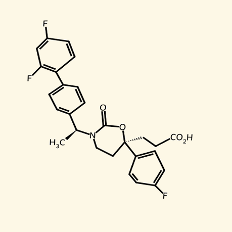 C[C@@H](c1ccc(-c2ccc(F)cc2F)cc1)N1CC[C@](CCC(=O)O)(c2ccc(F)cc2)OC1=O